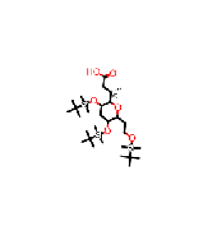 C[C@@H](CC(=O)O)C1OC(CCO[Si](C)(C)C(C)(C)C)C(O[Si](C)(C)C(C)(C)C)CC1O[Si](C)(C)C(C)(C)C